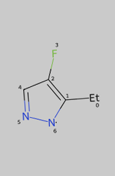 CCC1=C(F)C=N[N]1